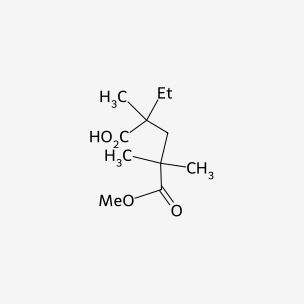 CCC(C)(CC(C)(C)C(=O)OC)C(=O)O